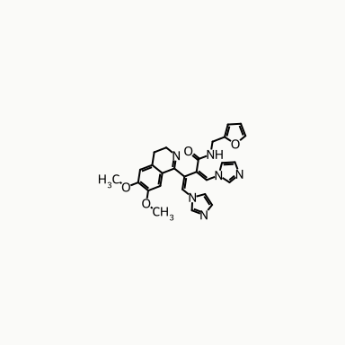 COc1cc2c(cc1OC)C(C(=Cn1ccnc1)C(=Cn1ccnc1)C(=O)NCc1ccco1)=NCC2